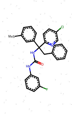 CSc1cccc(C(Cc2ccccc2)(NC(=O)Nc2cccc(F)c2)c2ccc(Cl)cn2)c1